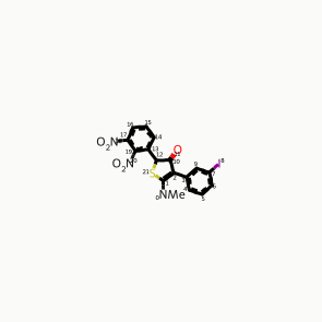 CNC1=C(c2cccc(I)c2)C(=O)C(c2cccc([N+](=O)[O-])c2[N+](=O)[O-])S1